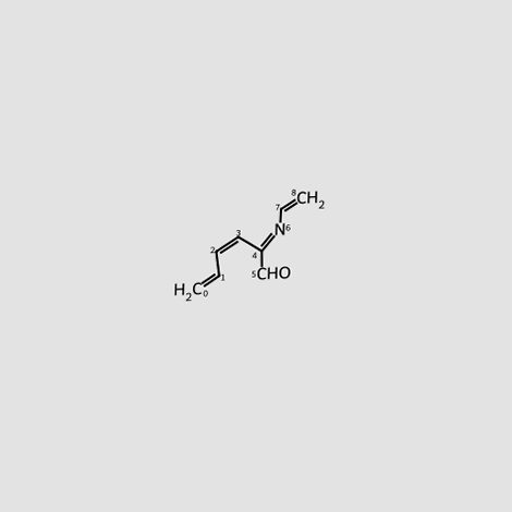 C=C/C=C\C(C=O)=N/C=C